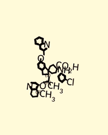 C[C@@H](COc1ccnc2c1[C@H](C)CCC2)C[C@H]1Cc2ccc(OCc3cnc4ccccc4c3)cc2C12CCC(Nc1cccc(Cl)c1)(C(=O)O)CC2